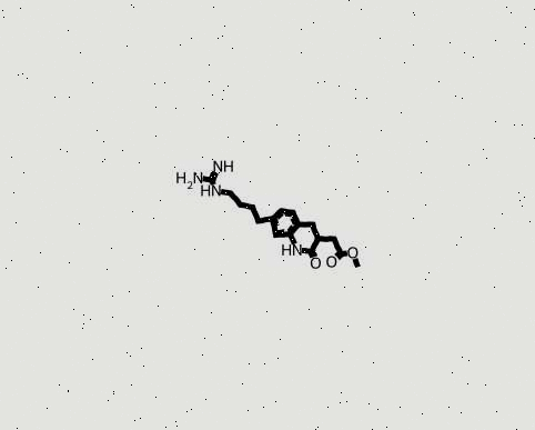 COC(=O)CC1Cc2ccc(CCCCNC(=N)N)cc2NC1=O